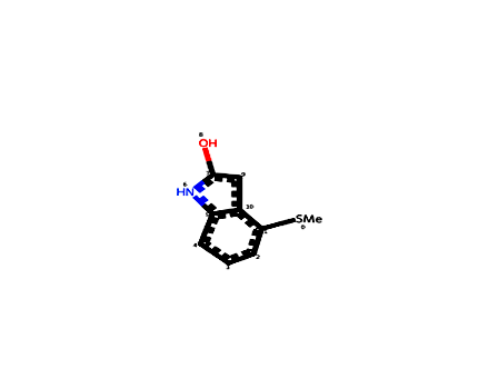 CSc1cccc2[nH]c(O)cc12